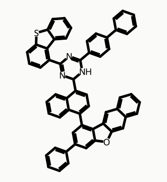 c1ccc(-c2ccc(C3=NC(c4cccc5sc6ccccc6c45)=NC(c4ccc(-c5cc(-c6ccccc6)cc6oc7cc8ccccc8cc7c56)c5ccccc45)N3)cc2)cc1